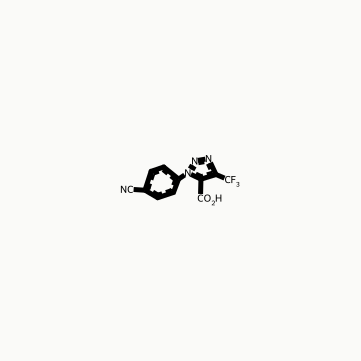 N#Cc1ccc(-n2nnc(C(F)(F)F)c2C(=O)O)cc1